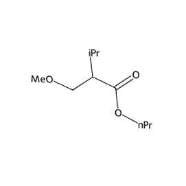 CCCOC(=O)C(COC)C(C)C